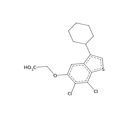 O=C(O)COc1cc2c(C3CCCCC3)csc2c(Cl)c1Cl